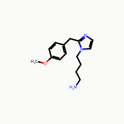 COc1ccc(Cc2nccn2CCCCN)cc1